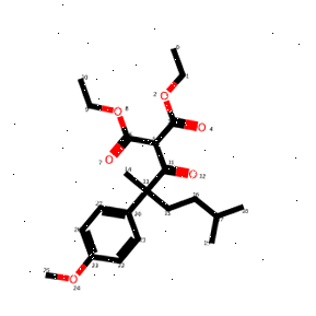 CCOC(=O)C(C(=O)OCC)C(=O)C(C)(CCC(C)C)c1ccc(OC)cc1